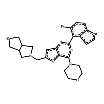 Fc1ccc2[nH]ccc2c1-c1nc(N2CCOCC2)c2sc(CN3CC4CNCC4C3)cc2n1